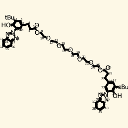 CC(C)(C)c1cc(CCC(=O)OCCOCCOCCOCCOCCOCCOC(=O)CCc2cc(-n3nc4ccccc4n3)c(O)c(C(C)(C)C)c2)cc(-n2nc3ccccc3n2)c1O